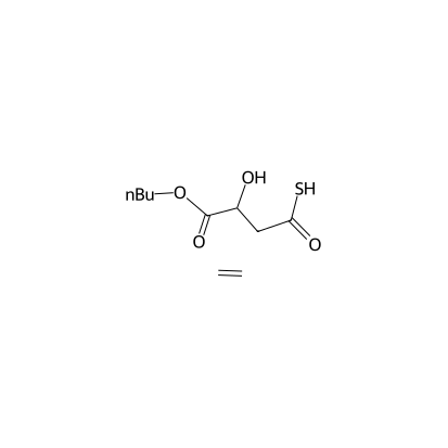 C=C.CCCCOC(=O)C(O)CC(=O)S